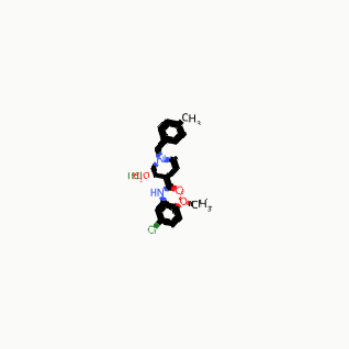 COc1ccc(Cl)cc1NC(=O)C1CCN(Cc2ccc(C)cc2)CC1.Cl.O